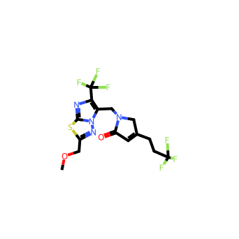 COCc1nn2c(CN3CC(CCC(F)(F)F)=CC3=O)c(C(F)(F)F)nc2s1